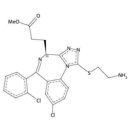 COC(=O)CC[C@@H]1N=C(c2ccccc2Cl)c2cc(Cl)ccc2-n2c(SCCN)nnc21